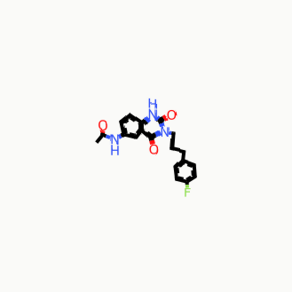 CC(=O)Nc1ccc2[nH]c(=O)n(CCCc3ccc(F)cc3)c(=O)c2c1